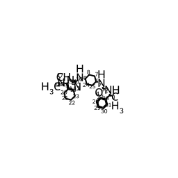 CC(NC(=O)N[C@H]1CC[C@@H](Nc2nc3c(c(N(C)C)n2)CCCC3)CC1)c1ccccc1